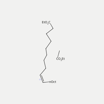 CCCCCCCC/C=C\CCCCCCCC(=O)OCC.CCOC(C)=O